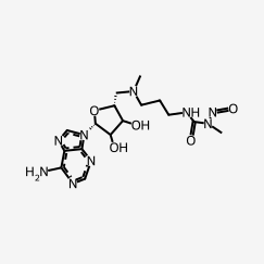 CN(CCCNC(=O)N(C)N=O)C[C@H]1O[C@@H](n2cnc3c(N)ncnc32)C(O)C1O